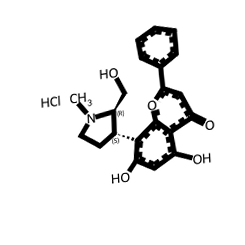 CN1CC[C@@H](c2c(O)cc(O)c3c(=O)cc(-c4ccccc4)oc23)[C@@H]1CO.Cl